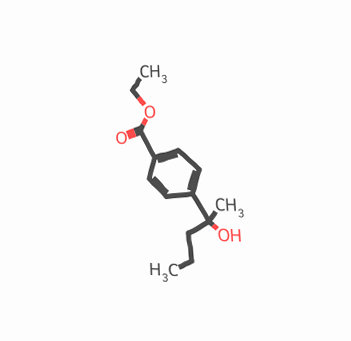 CCCC(C)(O)c1ccc(C(=O)OCC)cc1